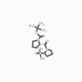 CC(C)(C)OC(=O)N1CCC[C@H]1C(=O)N1CCCC1P(=O)(O)O